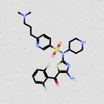 CN(C)CCCc1ccc(S(=O)(=O)N(c2nc(N)c(C(=O)c3c(F)cccc3F)s2)C2CCNCC2)cn1